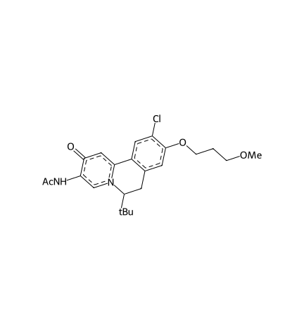 COCCCOc1cc2c(cc1Cl)-c1cc(=O)c(NC(C)=O)cn1C(C(C)(C)C)C2